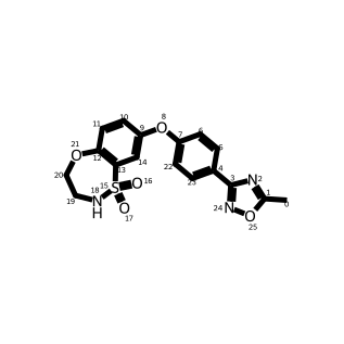 Cc1nc(-c2ccc(Oc3ccc4c(c3)S(=O)(=O)NCCO4)cc2)no1